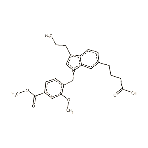 CCCc1cn(Cc2ccc(C(=O)OC)cc2OC)c2cc(CCCC(=O)O)ccc12